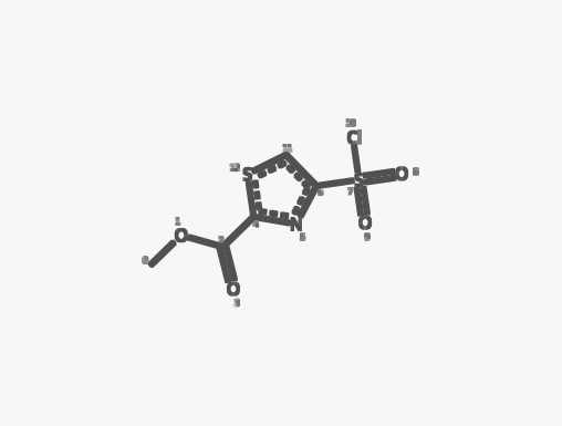 COC(=O)c1nc(S(=O)(=O)Cl)cs1